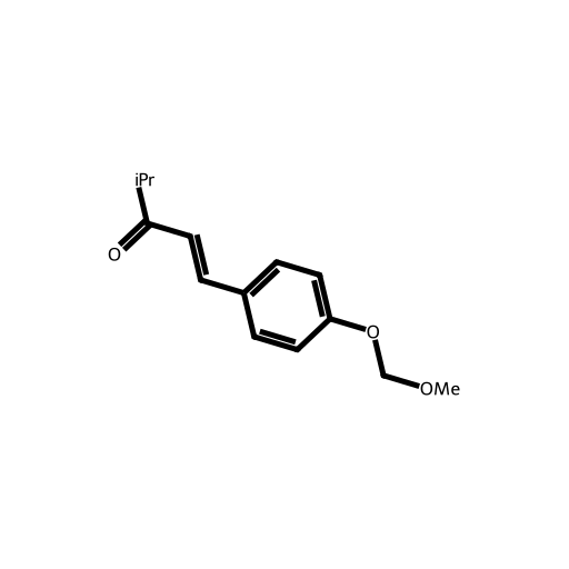 COCOc1ccc(C=CC(=O)C(C)C)cc1